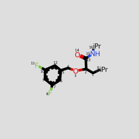 CC(C)CC(OCc1cc(F)cc(F)c1)C(=O)NC(C)C